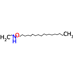 [CH2]CNOCCCCCCCCCCCCCCCCCC